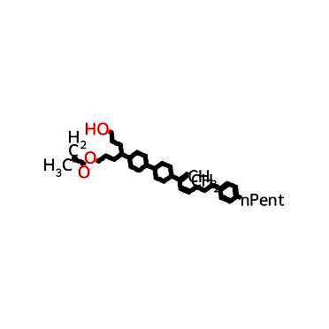 C=C(/C=C\C(=C/C)C1CCC(C2CCC(C(CCCO)CCCOC(=O)C(=C)C)CC2)CC1)CCc1ccc(CCCCC)cc1